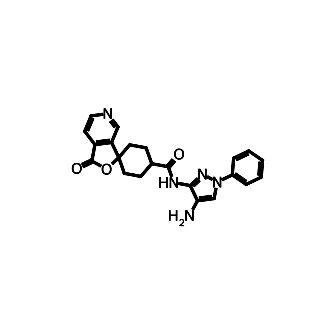 Nc1cn(-c2ccccc2)nc1NC(=O)C1CCC2(CC1)OC(=O)c1ccncc12